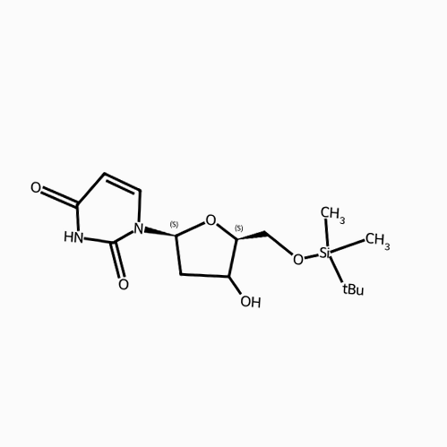 CC(C)(C)[Si](C)(C)OC[C@@H]1O[C@H](n2ccc(=O)[nH]c2=O)CC1O